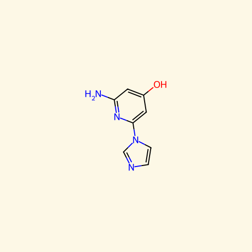 Nc1cc(O)cc(-n2ccnc2)n1